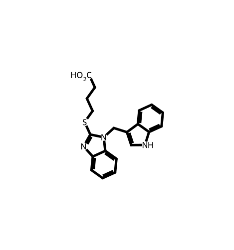 O=C(O)CCCSc1nc2ccccc2n1Cc1c[nH]c2ccccc12